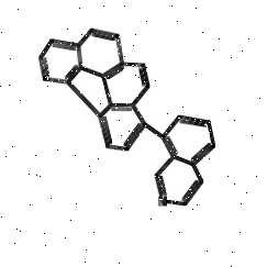 c1cc(-c2ccc3c4c2ccc2ccc5cccc-3c5c24)c2cnccc2c1